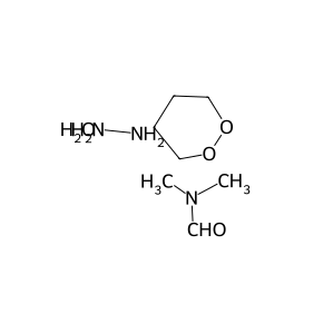 C1CCOOC1.CN(C)C=O.NN.O